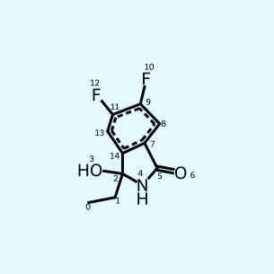 CCC1(O)NC(=O)c2cc(F)c(F)cc21